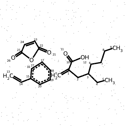 C=C(CC(CC)CCCC)C(=O)O.C=Cc1ccccc1.O=C1C=CC(=O)O1